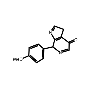 COc1ccc(C2N=CC(=O)C3=C2N=CC3)cc1